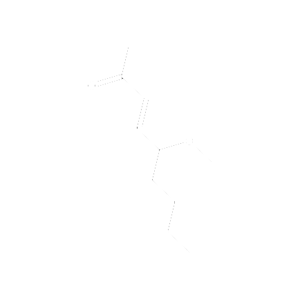 CCCCC(/C=C/C(C)=O)OC